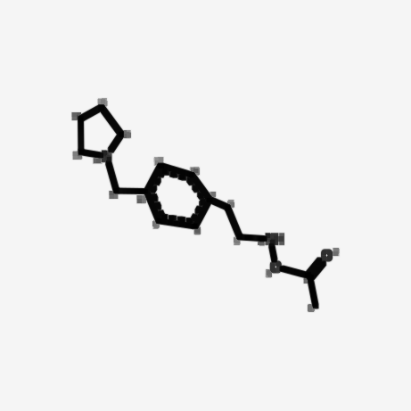 CC(=O)ONCCc1ccc(CN2CCCC2)cc1